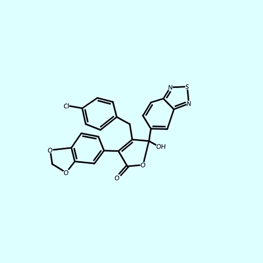 O=C1OC(O)(c2ccc3nsnc3c2)C(Cc2ccc(Cl)cc2)=C1c1ccc2c(c1)OCO2